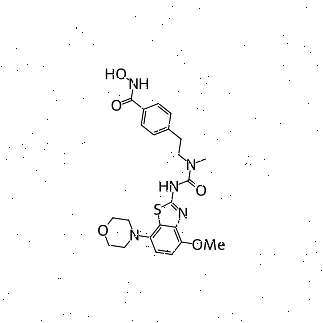 COc1ccc(N2CCOCC2)c2sc(NC(=O)N(C)CCc3ccc(C(=O)NO)cc3)nc12